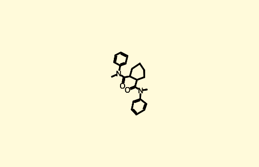 CN(C(=O)C1CCCCC1C(=O)N(C)c1ccccc1)c1ccccc1